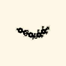 CC1CCC(C2COC(C3CCC(C(F)(F)Oc4cc(F)c(-c5cc(F)c(C#N)c(F)c5)c(F)c4)CC3)OC2)CC1